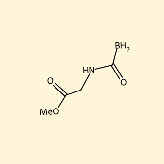 BC(=O)NCC(=O)OC